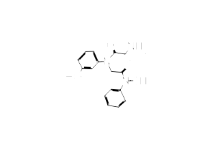 CN(C(=O)CN(C(=O)CN)c1cccc(O)c1)c1ccccc1